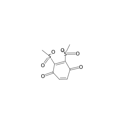 CS(=O)(=O)C1=C(S(C)(=O)=O)C(=O)C=CC1=O